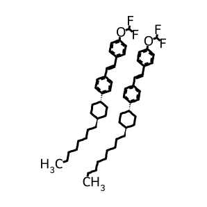 CCCCCCCCC[C@H]1CC[C@H](c2ccc(C=Cc3ccc(OC(F)F)cc3)cc2)CC1.CCCCCCCC[C@H]1CC[C@H](c2ccc(C=Cc3ccc(OC(F)F)cc3)cc2)CC1